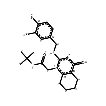 CC(C)(C)OC(=O)Cn1c(SCc2ccc(F)c(F)c2)nc(=O)c2c1CCCC2